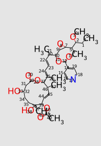 CCC(OC)C(C)C1OC1C(OC(=O)c1ccncc1)C(C)/C=C/C=C(\C)C1OC(=O)CC(O)CCC(C)(O)C(OC(C)=O)/C=C/C1C